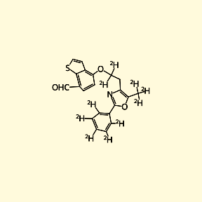 [2H]c1c([2H])c([2H])c(-c2nc(CC([2H])([2H])Oc3ccc(C=O)c4sccc34)c(C([2H])([2H])[2H])o2)c([2H])c1[2H]